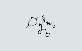 Cc1ccc(C)c(N(C(=O)CCl)C(N)=S)c1